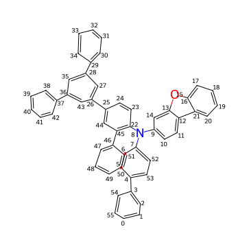 c1ccc(-c2ccc(N(c3ccc4c(c3)oc3ccccc34)c3ccc(-c4cc(-c5ccccc5)cc(-c5ccccc5)c4)cc3-c3ccccc3)cc2)cc1